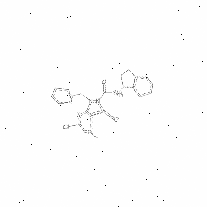 Cc1cc(Cl)nc2c1c(=O)n(C(=O)N[C@@H]1CCc3ccccc31)n2Cc1ccccc1